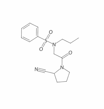 CCCN(CC(=O)N1CCCC1C#N)S(=O)(=O)c1ccccc1